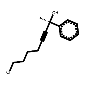 C[C@@](O)(C#CCCCCCl)c1ccccc1